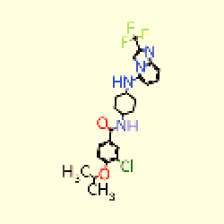 CC(C)Oc1ccc(C(=O)NC2CCC(Nc3cccc4nc(C(F)(F)F)cn34)CC2)cc1Cl